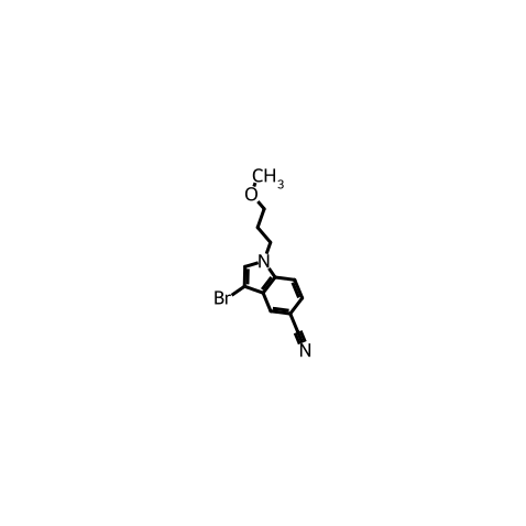 COCCCn1cc(Br)c2cc(C#N)ccc21